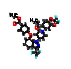 COC(=O)c1ccc(O[C@@H]2CCCc3c(C(F)(F)F)nn(-c4ccnc(O[C@@H](C)c5ccc6c(c5)OC(F)(F)O6)c4)c32)cc1